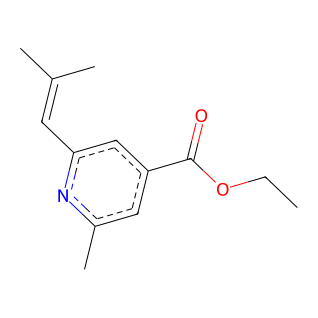 CCOC(=O)c1cc(C)nc(C=C(C)C)c1